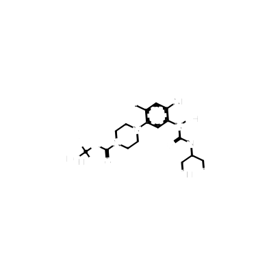 CCC(CC)NC(=O)N(S)c1cc(N2CCN(C(=O)OC(C)(C)C)CC2)c(Cl)cc1N